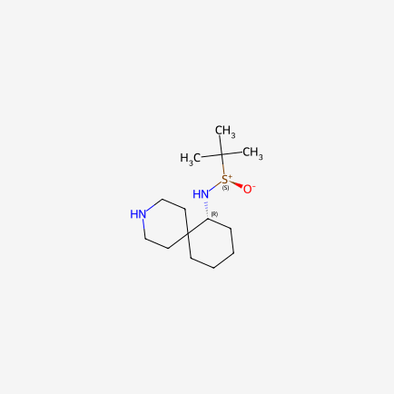 CC(C)(C)[S@@+]([O-])N[C@@H]1CCCCC12CCNCC2